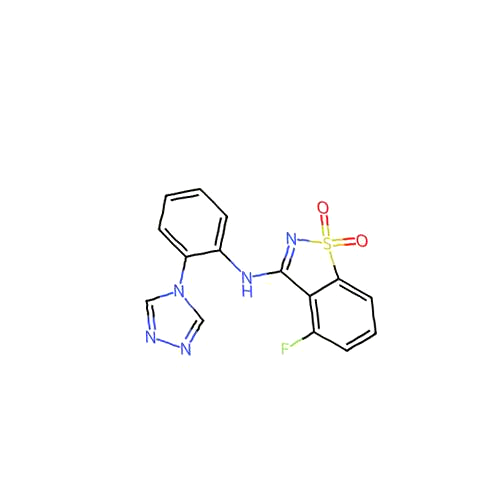 O=S1(=O)N=C(Nc2ccccc2-n2cnnc2)c2c(F)cccc21